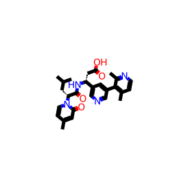 Cc1ccn([C@H](CC(C)C)C(=O)N[C@H](CC(=O)O)c2cncc(-c3c(C)ccnc3C)c2)c(=O)c1